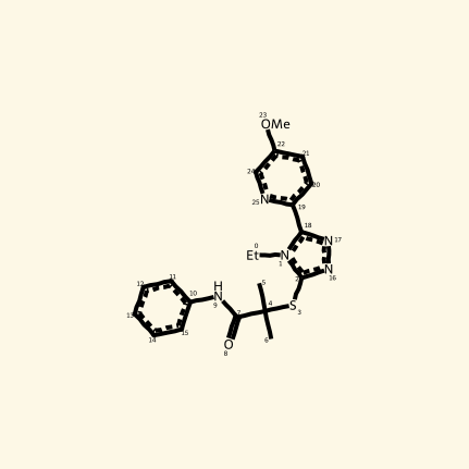 CCn1c(SC(C)(C)C(=O)Nc2ccccc2)nnc1-c1ccc(OC)cn1